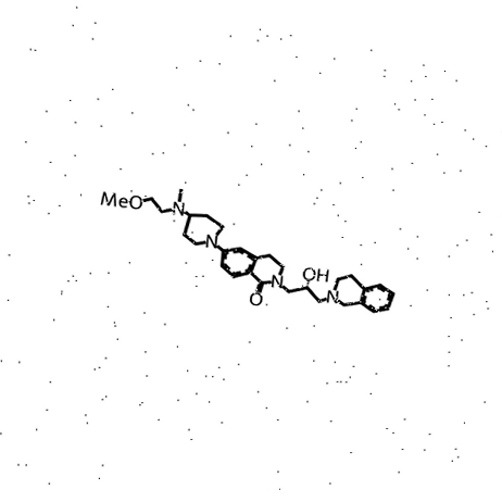 COCCN(C)C1CCN(c2ccc3c(c2)CCN(C[C@H](O)CN2CCc4ccccc4C2)C3=O)CC1